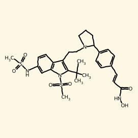 CC(C)(C)c1c(CCN2CCCC2c2ccc(C=CC(=O)NO)cc2)c2ccc(NS(C)(=O)=O)cc2n1S(C)(=O)=O